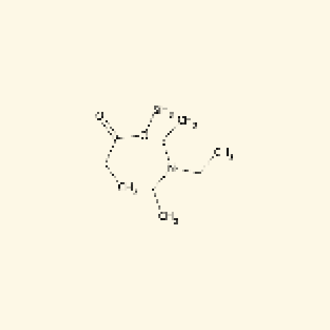 CCC(=O)O[SiH3].CCN(CC)CC